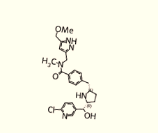 COCc1cc(CN(C)C(=O)c2ccc(C[C@@H]3CC[C@H](C(O)c4ccc(Cl)nc4)N3)cc2)n[nH]1